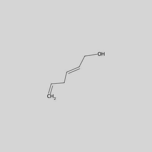 C=CCC=CCO